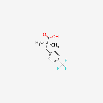 CC(C)(Cc1ccc(C(F)(F)F)cc1)C(=O)O